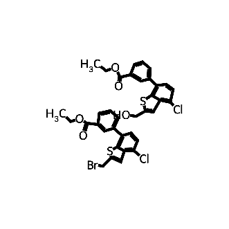 CCOC(=O)c1cccc(-c2ccc(Cl)c3cc(CBr)sc23)c1.CCOC(=O)c1cccc(-c2ccc(Cl)c3cc(CO)sc23)c1